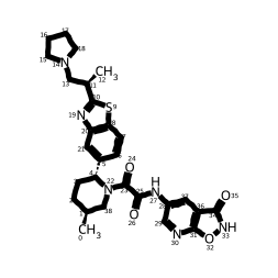 C[C@H]1CC[C@H](c2ccc3sc([C@H](C)CN4CCCC4)nc3c2)N(C(=O)C(=O)Nc2cnc3o[nH]c(=O)c3c2)C1